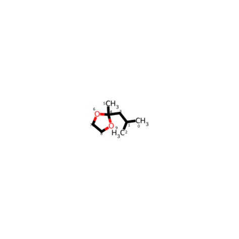 CC(C)CC1(C)O[CH]CO1